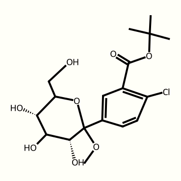 COC1(c2ccc(Cl)c(C(=O)OC(C)(C)C)c2)OC(CO)[C@@H](O)C(O)[C@H]1O